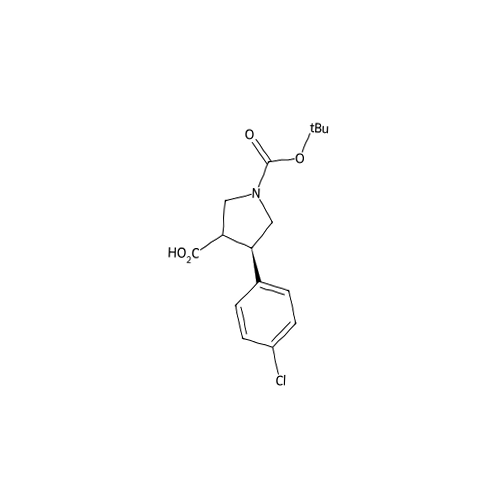 CC(C)(C)OC(=O)N1CC(C(=O)O)[C@H](c2ccc(Cl)cc2)C1